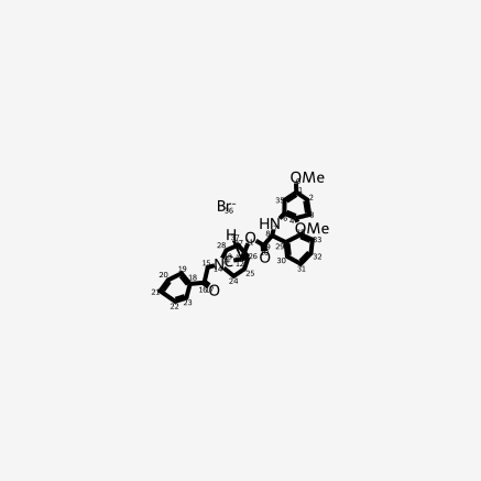 COc1ccc(OC)c(NC(C(=O)O[C@H]2C[N+]3(CC(=O)c4ccccc4)CCC2CC3)c2ccccc2)c1.[Br-]